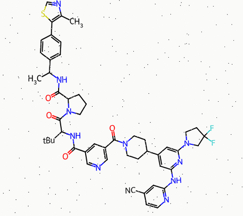 Cc1ncsc1-c1ccc(C(C)NC(=O)C2CCCN2C(=O)C(NC(=O)c2cncc(C(=O)N3CCC(c4cc(Nc5cc(C#N)ccn5)nc(N5CCC(F)(F)C5)c4)CC3)c2)C(C)(C)C)cc1